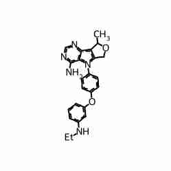 CCNc1cccc(Oc2ccc(-n3c4c(c5ncnc(N)c53)C(C)OC4)cc2)c1